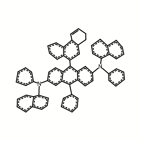 C1=Cc2c(cc(-c3c4ccc(N(c5ccccc5)c5cccc6ccccc56)cc4c(-c4ccccc4)c4ccc(N(c5ccccc5)c5cccc6ccccc56)cc34)c3ccccc23)CC1